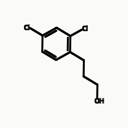 OCCCc1ccc(Cl)cc1Cl